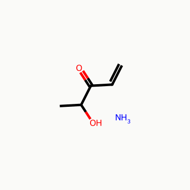 C=CC(=O)C(C)O.N